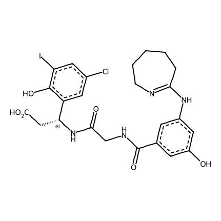 O=C(O)C[C@@H](NC(=O)CNC(=O)c1cc(O)cc(NC2=NCCCCC2)c1)c1cc(Cl)cc(I)c1O